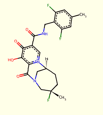 Cc1cc(F)c(CNC(=O)c2cn3c(c(O)c2=O)C(=O)N2C[C@@H]3CC[C@](C)(F)C2)c(F)c1